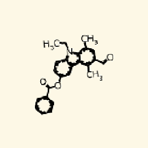 CCn1c2ccc(OC(=O)c3ccccc3)cc2c2c(C)c(C=O)cc(C)c21